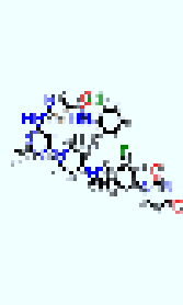 Cc1nc(Nc2ncc(C(=O)Nc3c(C)cccc3Cl)s2)cc(N2CCC(N(C)Cc3ccc(N4CCC(=O)NC4=O)cc3F)CC2)n1